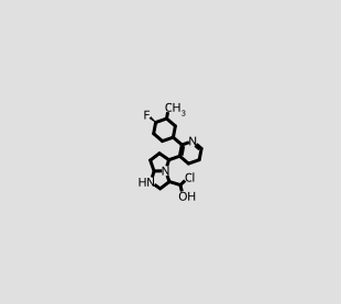 CC1CC(C2=C(C3CCC4NCC(C(O)Cl)N43)CCC=N2)CC[C@H]1F